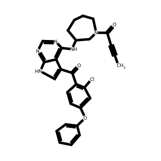 CC#CC(=O)N1CCCCC(Nc2ncnc3[nH]cc(C(=O)c4ccc(Oc5ccccc5)cc4Cl)c23)C1